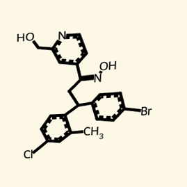 Cc1cc(Cl)ccc1C(CC(=NO)c1ccnc(CO)c1)c1ccc(Br)cc1